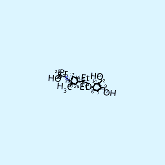 CCC(CC)(COc1ccc(CO)c(CO)c1)c1ccc(/C=C/C(O)C(C)C)c(C)c1